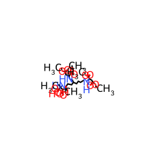 CCOC(=O)CC(NCCCCC(CCCNC(CC)(C(=O)O)C(CC)C(=O)O)CNC(CC(=O)OCC)C(=O)OCC)C(=O)OCC